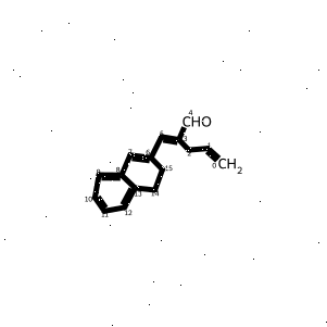 C=CCC(C=O)=CC1=Cc2ccccc2CC1